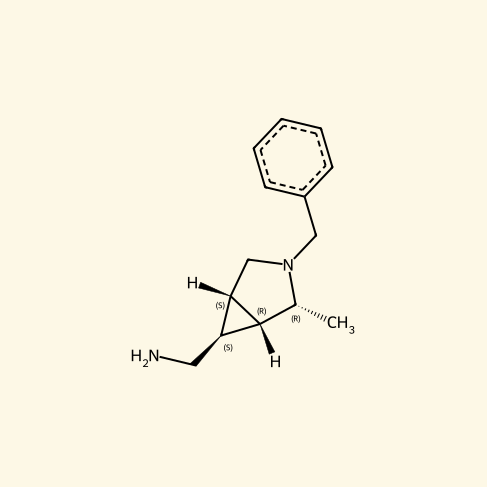 C[C@@H]1[C@@H]2[C@@H](CN)[C@@H]2CN1Cc1ccccc1